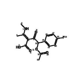 CNC(C)=C(C(=O)O)C(=O)C(OC(C)=O)c1ccc(F)cc1